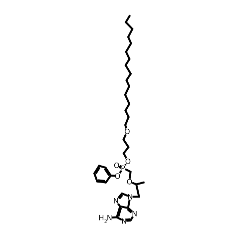 CCCCCCCCCCCCCCCCOCCCOP(=O)(COC(C)Cn1cnc2c(N)ncnc21)Oc1ccccc1